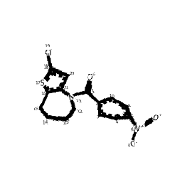 O=C(c1ccc([N+](=O)[O-])cc1)N1CCCCc2sc(Cl)cc21